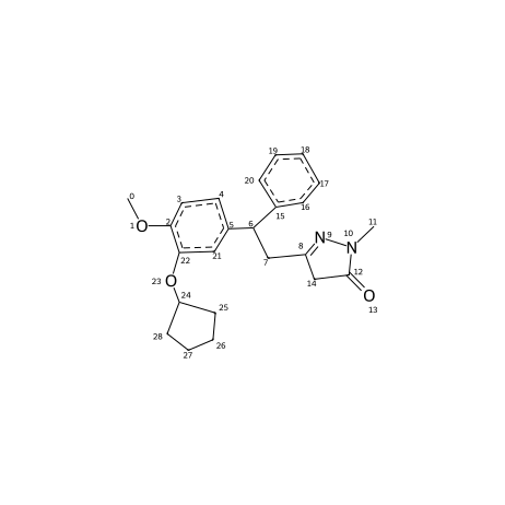 COc1ccc(C(CC2=NN(C)C(=O)C2)c2ccccc2)cc1OC1CCCC1